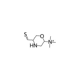 C[N+](C)(C)C1CNC(C=S)CO1